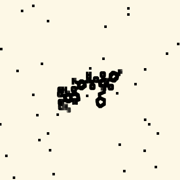 COc1cc2nccc(Oc3ccc(NC(=O)Oc4cn(CCC5CCCCC5)c(=O)n(-c5ccc(F)cc5)c4=O)cc3F)c2cc1OC